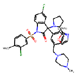 COc1ccc(S(=O)(=O)N2C(=O)C(c3cc(CN4CCN(C)CC4)ccc3OC)(N3CCC[C@H]3c3ncco3)c3cc(Cl)ccc32)cc1Br